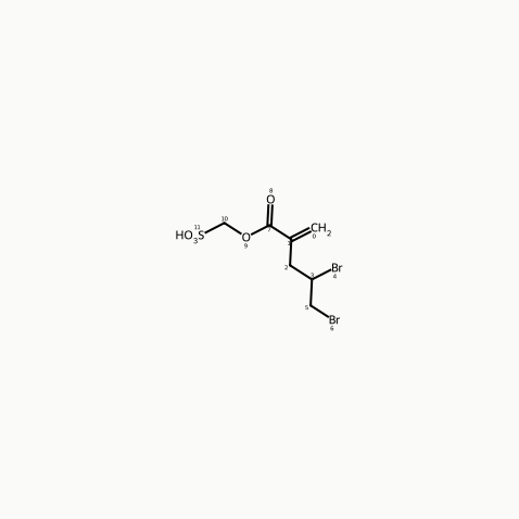 C=C(CC(Br)CBr)C(=O)OCS(=O)(=O)O